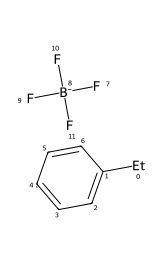 CCc1cc[c]cc1.F[B-](F)(F)F